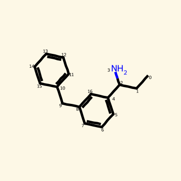 CCC(N)c1cccc(Cc2ccccc2)c1